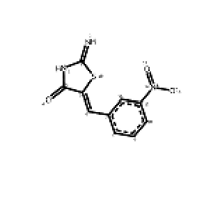 N=C1NC(=O)C(=Cc2cccc([N+](=O)[O-])c2)S1